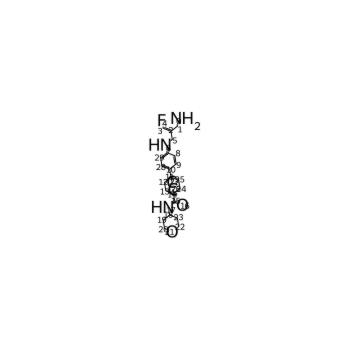 NCC(=CF)CNc1ccc(C23CCC(C(=O)NC4CCOCC4)(CC2)CC3)cc1